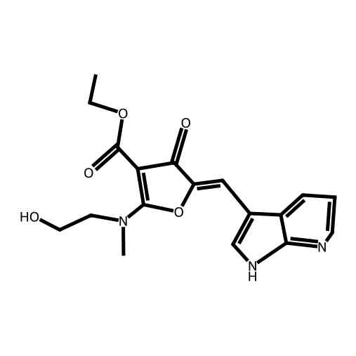 CCOC(=O)C1=C(N(C)CCO)OC(=Cc2c[nH]c3ncccc23)C1=O